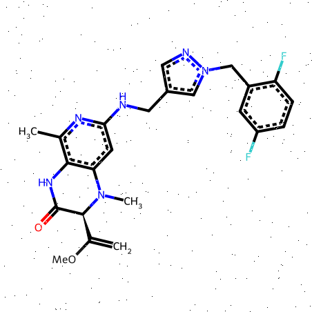 C=C(OC)[C@H]1C(=O)Nc2c(cc(NCc3cnn(Cc4cc(F)ccc4F)c3)nc2C)N1C